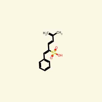 C=C(C)C=CC(=Cc1ccccc1)S(=O)(=O)O